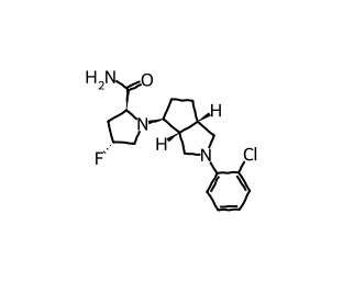 NC(=O)[C@@H]1C[C@@H](F)CN1[C@H]1CC[C@@H]2CN(c3ccccc3Cl)C[C@@H]21